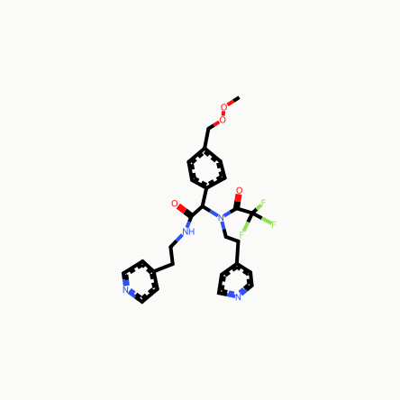 COOCc1ccc(C(C(=O)NCCc2ccncc2)N(CCc2ccncc2)C(=O)C(F)(F)F)cc1